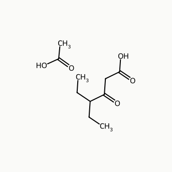 CC(=O)O.CCC(CC)C(=O)CC(=O)O